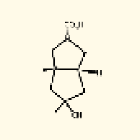 CC1(C#N)C[C@H]2CN(C(=O)O)C[C@H]2C1